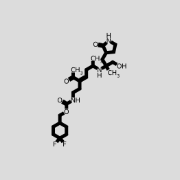 CC(=O)/C(=C\CC(C)NC(C)(CO)CC1CCNC1=O)CCNC(=O)OCC1CCC(F)(F)CC1